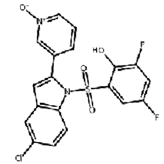 O=S(=O)(c1cc(F)cc(F)c1O)n1c(-c2ccc[n+]([O-])c2)cc2cc(Cl)ccc21